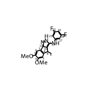 COc1cc2c(cc1OC)C(C)c1c-2n[nH]c1Nc1cc(F)cc(F)c1